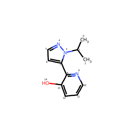 CC(C)n1nccc1-c1ncccc1O